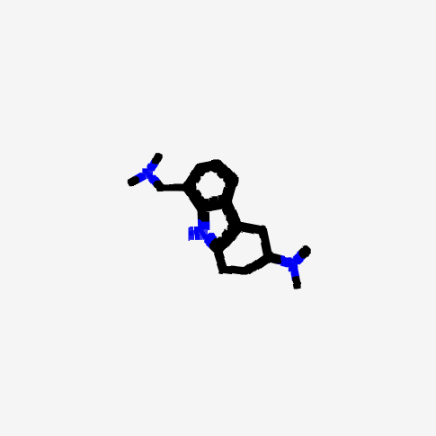 CN(C)Cc1cccc2c3c([nH]c12)CCC(N(C)C)C3